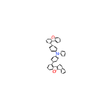 c1ccc(N(c2ccc(-c3cccc4oc5ccccc5c34)cc2)c2ccc(-c3cccc4oc5c6ccccc6ccc5c34)cc2)cc1